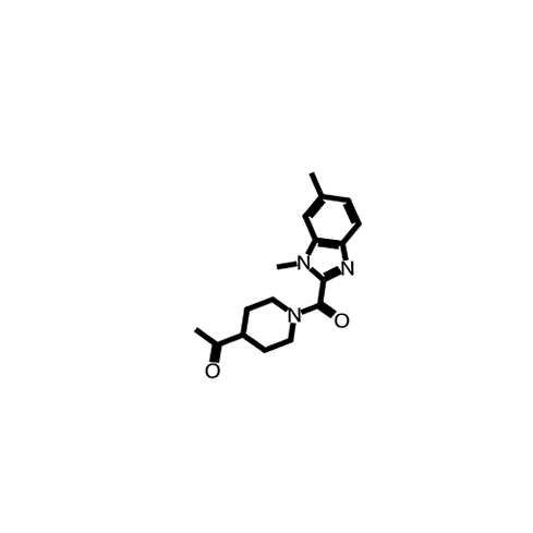 CC(=O)C1CCN(C(=O)c2nc3ccc(C)cc3n2C)CC1